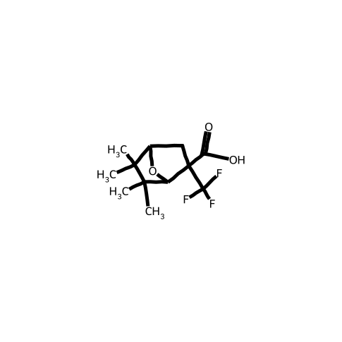 CC1(C)C2CC(C(=O)O)(C(F)(F)F)C(O2)C1(C)C